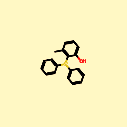 Cc1cccc(O)c1[S+](c1ccccc1)c1ccccc1